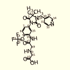 CC1(C)C(=O)N(c2ccc(OC(F)(F)F)c(NC(=O)CNCC(=O)O)c2)C(=O)N1Cc1ccncc1